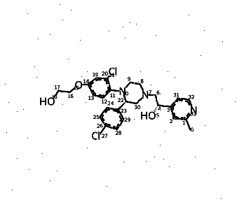 Cc1cc([C@H](O)CN2CCN(c3ccc(OCCO)cc3Cl)[C@H](c3ccc(Cl)cc3)C2)ccn1